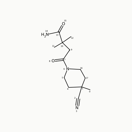 CC1(C#N)CCN(C(=O)[CH]C(C)(C)C(N)=O)CC1